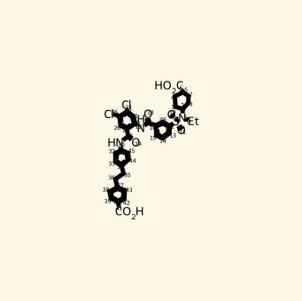 CCN(C1CCC(C(=O)O)CC1)S(=O)(=O)c1cccc(C(=O)Nc2cc(Cl)c(Cl)cc2C(=O)Nc2ccc(CCc3ccc(C(=O)O)cc3)cc2)c1